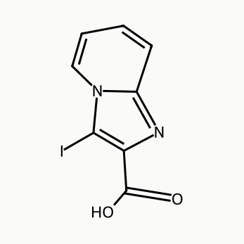 O=C(O)c1nc2ccccn2c1I